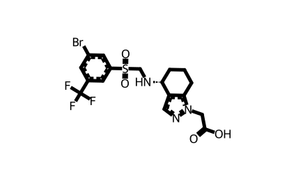 O=C(O)Cn1ncc2c1CCC[C@H]2NCS(=O)(=O)c1cc(Br)cc(C(F)(F)F)c1